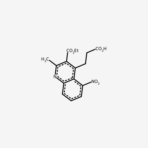 CCOC(=O)c1c(C)nc2cccc([N+](=O)[O-])c2c1CCC(=O)O